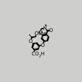 COC[C@H](C)Oc1cc(Oc2ccc3c(c2)OCN(C)C3=O)cc(C(=O)O)c1